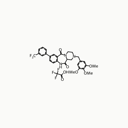 COc1cc(CN2CCN3C(=O)c4cc(-c5cccc(C(F)(F)F)c5)ccc4NC(=O)C3C2)cc(OC)c1OC.O=C(O)C(F)(F)F